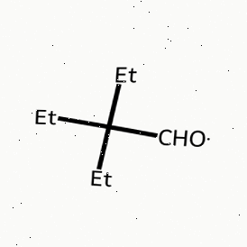 CCC([C]=O)(CC)CC